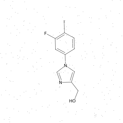 OCc1cn(-c2ccc(I)c(F)c2)cn1